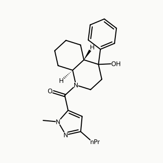 CCCc1cc(C(=O)N2CCC(O)(c3ccccc3)[C@H]3CCCC[C@@H]32)n(C)n1